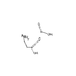 NCC(=O)O.O=NO